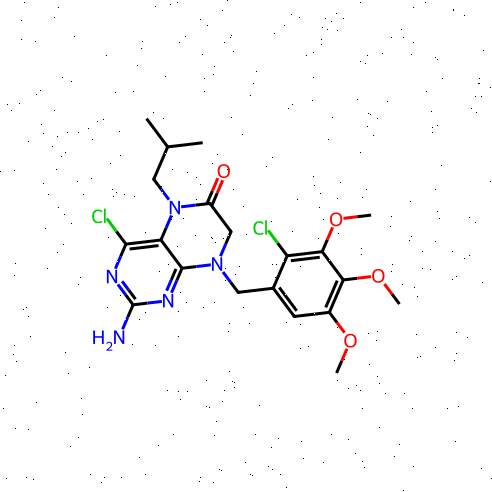 COc1cc(CN2CC(=O)N(CC(C)C)c3c(Cl)nc(N)nc32)c(Cl)c(OC)c1OC